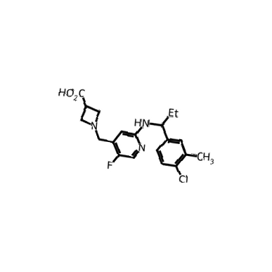 CCC(Nc1cc(CN2CC(C(=O)O)C2)c(F)cn1)c1ccc(Cl)c(C)c1